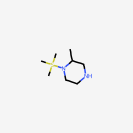 CC1CNCCN1S(C)(C)C